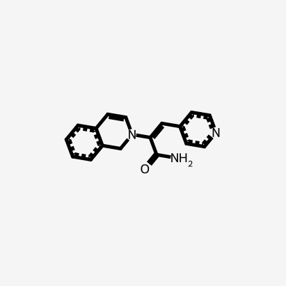 NC(=O)/C(=C\c1ccncc1)N1C=Cc2ccccc2C1